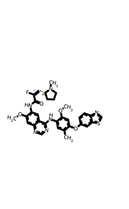 COc1cc2ncnc(Nc3cc(C)c(Oc4ccc5ncsc5c4)cc3OC)c2cc1NC(=O)/C(F)=C\[C@H]1CCCN1C